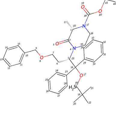 C[C@H]1C(=O)N([C@@H](CCOCc2ccccc2)C(O[SiH2]C(C)(C)C)(c2ccccc2)c2ccccc2)CCN1C(=O)OC(C)(C)C